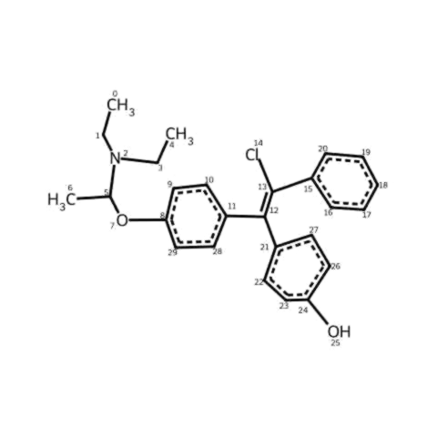 CCN(CC)C(C)Oc1ccc(C(=C(Cl)c2ccccc2)c2ccc(O)cc2)cc1